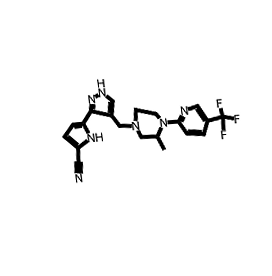 CC1CN(Cc2c[nH]nc2-c2ccc(C#N)[nH]2)CCN1c1ccc(C(F)(F)F)cn1